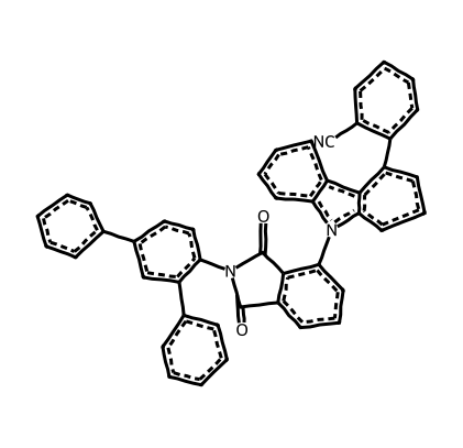 N#Cc1ccccc1-c1cccc2c1c1ccccc1n2-c1cccc2c1C(=O)N(c1ccc(-c3ccccc3)cc1-c1ccccc1)C2=O